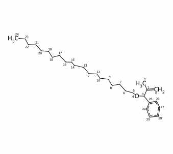 C=C(C)C(OCCCCCCCCCCCCCCCCCCCC)c1ccccc1